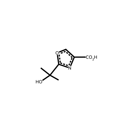 CC(C)(O)c1nc(C(=O)O)co1